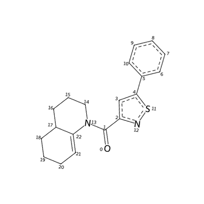 O=C(c1cc(-c2ccccc2)sn1)N1CCCC2CCCC=C21